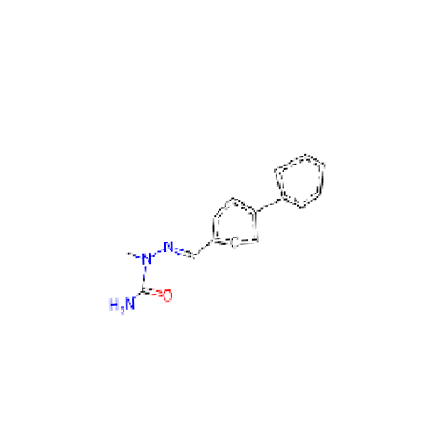 CN(N=Cc1ccc(-c2ccccc2)cc1)C(N)=O